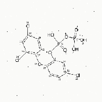 O=P(O)(O)OP(=O)(O)Oc1cc(Cl)ccc1Oc1ccc(Cl)cc1Cl